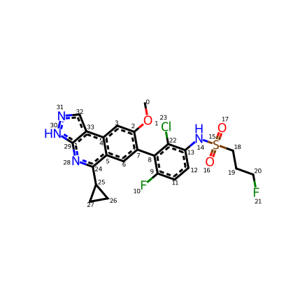 COc1cc2c(cc1-c1c(F)ccc(NS(=O)(=O)CCCF)c1Cl)c(C1CC1)nc1[nH]ncc12